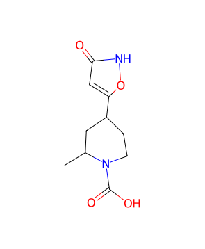 CC1CC(c2cc(=O)[nH]o2)CCN1C(=O)O